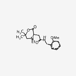 CCN1CC(C)(C)OC(=O)C1CC(=O)NCc1ccccc1OC